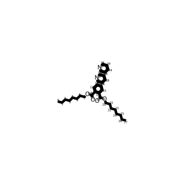 CCCCCCCCOC(=O)c1ccccc1C(=O)OCCCCCCCC.c1ccncc1.c1ccncc1